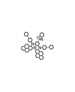 c1ccc(-c2ccc(N3c4cc(-c5nc6ccccc6o5)cc5c4B(c4cc6ccc7cccc8ccc(c43)c6c78)c3cc4ccc6cccc7ccc(c3N5c3ccc(-c5ccccc5)cc3)c4c67)cc2)cc1